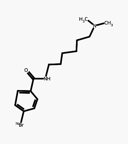 CN(C)CCCCCCNC(=O)c1ccc([76Br])cc1